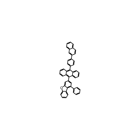 c1ccc(-c2cc(-c3c4ccccc4c(-c4ccc(-c5ccc6ccccc6c5)cc4)c4ccccc34)cc3oc4ccccc4c23)cc1